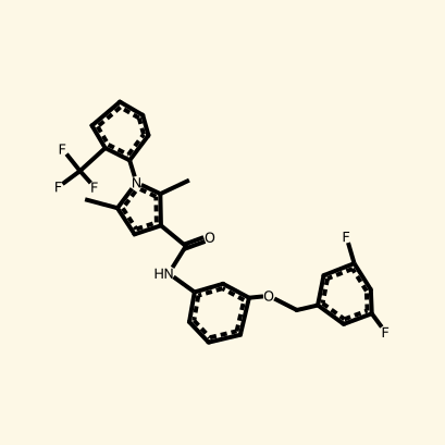 Cc1cc(C(=O)Nc2cccc(OCc3cc(F)cc(F)c3)c2)c(C)n1-c1ccccc1C(F)(F)F